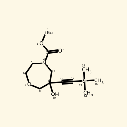 CC(C)(C)OC(=O)N1CCOCC(O)(C#C[Si](C)(C)C)C1